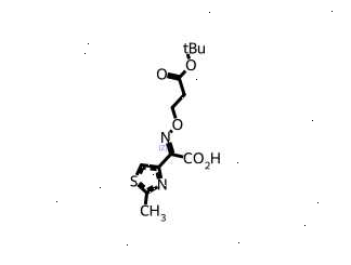 Cc1nc(/C(=N/OCCC(=O)OC(C)(C)C)C(=O)O)cs1